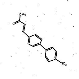 COC(=O)C=Cc1ccc(-c2ccc([N+](=O)[O-])cc2)cc1